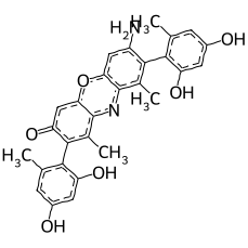 Cc1cc(O)cc(O)c1-c1c(N)cc2oc3cc(=O)c(-c4c(C)cc(O)cc4O)c(C)c-3nc2c1C